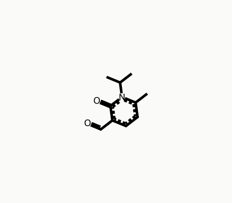 Cc1ccc(C=O)c(=O)n1C(C)C